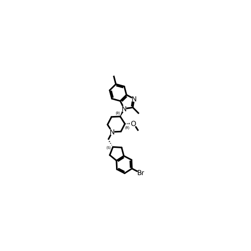 CO[C@@H]1CN(C[C@H]2Cc3ccc(Br)cc3C2)CC[C@H]1n1c(C)nc2cc(C)ccc21